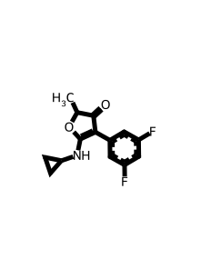 CC1OC(NC2CC2)=C(c2cc(F)cc(F)c2)C1=O